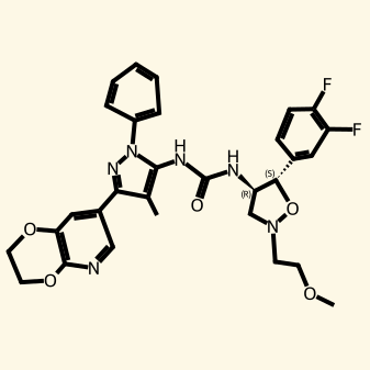 COCCN1C[C@@H](NC(=O)Nc2c(C)c(-c3cnc4c(c3)OCCO4)nn2-c2ccccc2)[C@H](c2ccc(F)c(F)c2)O1